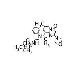 Cc1cc(C(C)N(CCNC(=O)OC(C)(C)C)c2ccccc2)c2nc(N3CCOCC3)cc(=O)n2c1